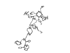 Cc1cc(C#N)[n+](O)c(C)c1C(=O)N1CCC(C)(N2CCC(N(Cc3ccsc3)C(=O)CN3CCOC3=O)CC2)CC1